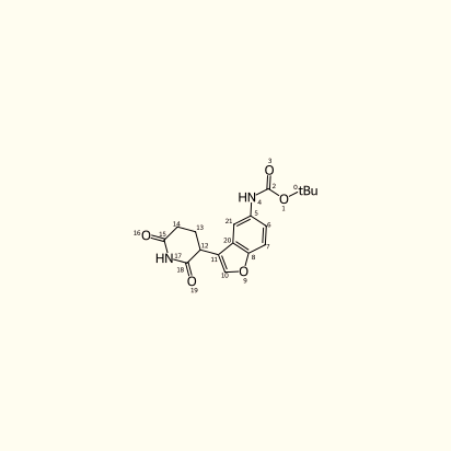 CC(C)(C)OC(=O)Nc1ccc2occ(C3CCC(=O)NC3=O)c2c1